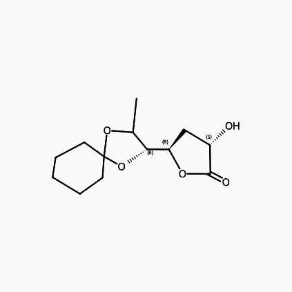 CC1OC2(CCCCC2)O[C@H]1[C@H]1C[C@H](O)C(=O)O1